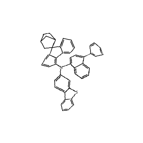 c1ccc(-c2ccc(N(c3ccc4c(c3)sc3ccccc34)c3cccc4c3-c3ccccc3C43CC4CCC3C4)c3ccccc23)cc1